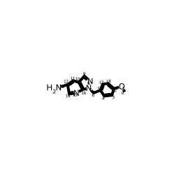 COc1ccc(Cn2ncc3cc(N)cnc32)cc1